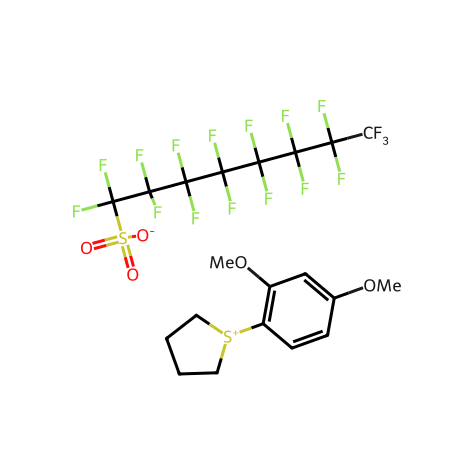 COc1ccc([S+]2CCCC2)c(OC)c1.O=S(=O)([O-])C(F)(F)C(F)(F)C(F)(F)C(F)(F)C(F)(F)C(F)(F)C(F)(F)C(F)(F)F